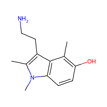 Cc1c(O)ccc2c1c(CCN)c(C)n2C